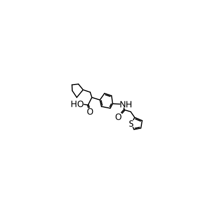 O=C(Cc1cccs1)Nc1ccc(C(CC2CCCC2)C(=O)O)cc1